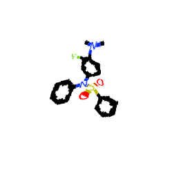 CN(C)c1ccc(N(c2ccccc2)S(=O)(=O)c2ccccc2)cc1F